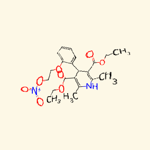 CCOC(=O)C1=C(C)NC(C)=C(C(=O)OCC)C1c1ccccc1OCCO[N+](=O)[O-]